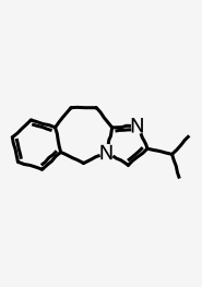 CC(C)c1cn2c(n1)CCc1ccccc1C2